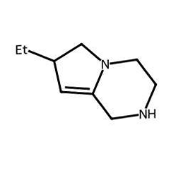 CCC1C=C2CNCCN2C1